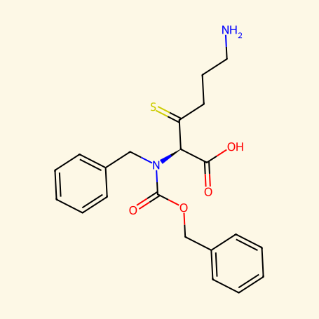 NCCCC(=S)[C@@H](C(=O)O)N(Cc1ccccc1)C(=O)OCc1ccccc1